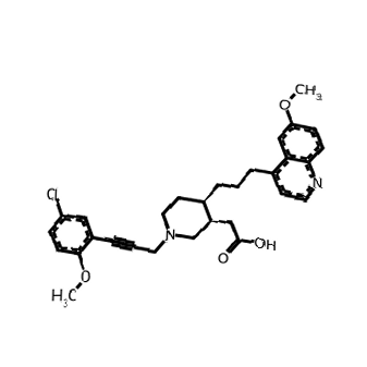 COc1ccc2nccc(CCC[C@@H]3CCN(CC#Cc4cc(Cl)ccc4OC)C[C@@H]3CC(=O)O)c2c1